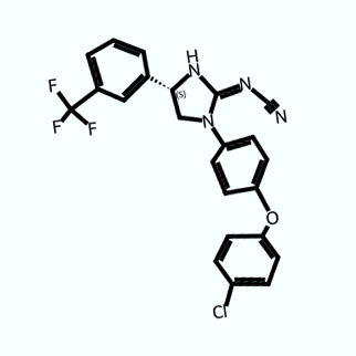 N#CN=C1N[C@@H](c2cccc(C(F)(F)F)c2)CN1c1ccc(Oc2ccc(Cl)cc2)cc1